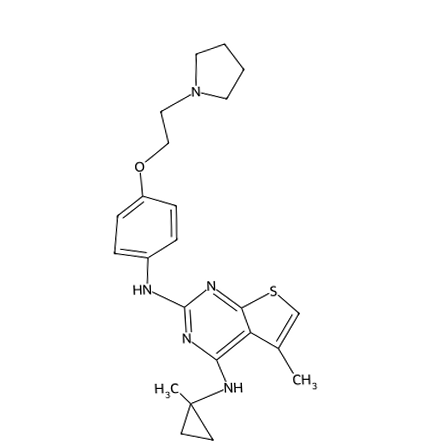 Cc1csc2nc(Nc3ccc(OCCN4CCCC4)cc3)nc(NC3(C)CC3)c12